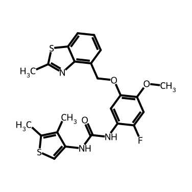 COc1cc(F)c(NC(=O)Nc2csc(C)c2C)cc1OCc1cccc2sc(C)nc12